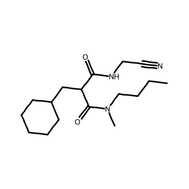 CCCCN(C)C(=O)C(CC1CCCCC1)C(=O)NCC#N